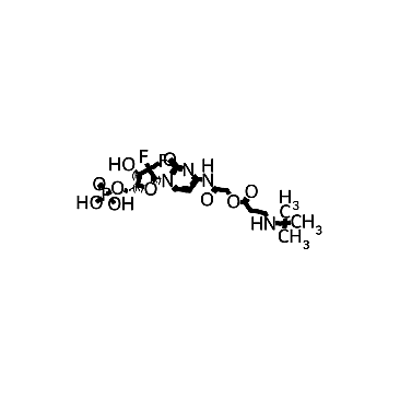 CC(C)(C)NCCC(=O)OCC(=O)Nc1ccn([C@@H]2O[C@H](COP(=O)(O)O)[C@@H](O)C2(F)F)c(=O)n1